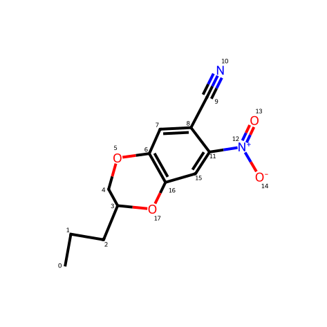 CCCC1COc2cc(C#N)c([N+](=O)[O-])cc2O1